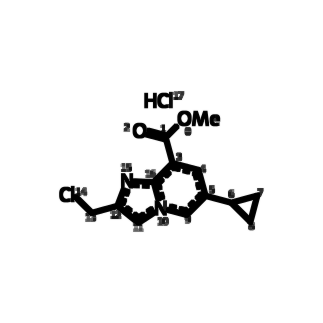 COC(=O)c1cc(C2CC2)cn2cc(CCl)nc12.Cl